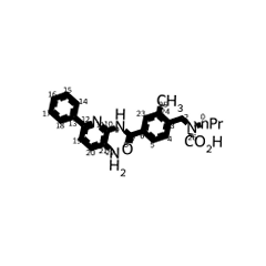 CCCN(Cc1ccc(C(=O)Nc2nc(-c3ccccc3)ccc2N)cc1C)C(=O)O